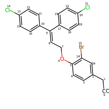 O=C(O)Cc1ccc(OCC=C(c2ccc(Cl)cc2)c2ccc(Cl)cc2)c(Br)c1